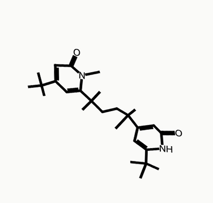 Cn1c(C(C)(C)CCC(C)(C)c2cc(C(C)(C)C)[nH]c(=O)c2)cc(C(C)(C)C)cc1=O